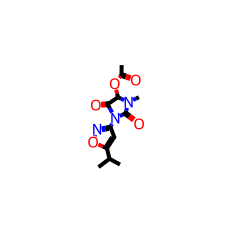 CC(=O)OC1C(=O)N(c2cc(C(C)C)on2)C(=O)N1C